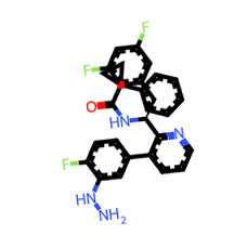 NNc1cc(-c2cccnc2[C@H](Cc2cc(F)cc(F)c2)NC(=O)C2(c3ccccc3)CC2)ccc1F